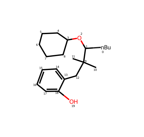 CCCCC(OC1CCCCC1)C(C)(C)Cc1ccccc1O